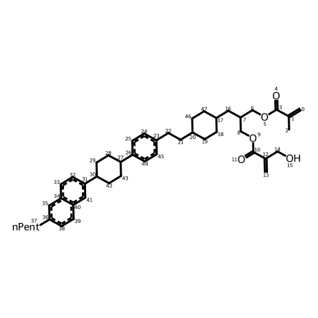 C=C(C)C(=O)OCC(COC(=O)C(=C)CO)CC1CCC(CCc2ccc(C3CCC(c4ccc5cc(CCCCC)ccc5c4)CC3)cc2)CC1